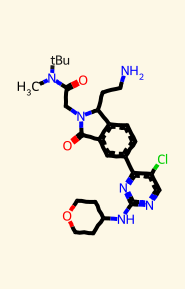 CN(C(=O)CN1C(=O)c2cc(-c3nc(NC4CCOCC4)ncc3Cl)ccc2C1CCN)C(C)(C)C